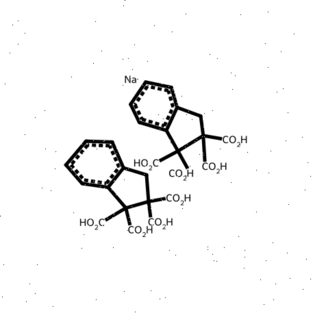 O=C(O)C1(C(=O)O)Cc2ccccc2C1(C(=O)O)C(=O)O.O=C(O)C1(C(=O)O)Cc2ccccc2C1(C(=O)O)C(=O)O.[Na]